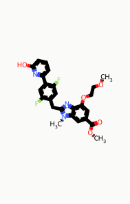 COCCOc1cc(C(=O)OC)cc2c1nc(Cc1cc(F)c(-c3cccc(O)n3)cc1F)n2C